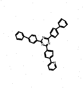 c1ccc(-c2ccc(-c3nc(-c4ccc(-c5ccccc5)cc4)nc(-c4ccc(-c5ccccn5)cc4)n3)cc2)cc1